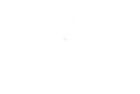 CCON(C(=O)CC)c1ccccc1